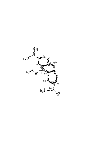 CN(C)c1ccc2cc3ccc(N(C)C)cc3[n+](CCO)c2c1.[I-]